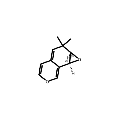 CC1(C)C=C2C=COC=C2[C@@H]2O[C@H]21